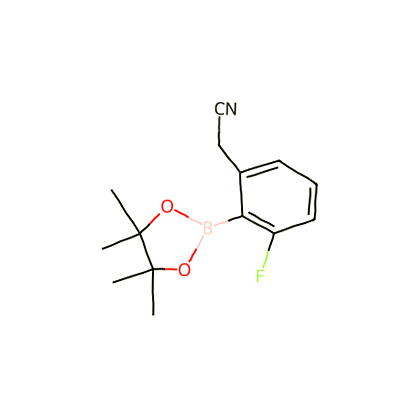 CC1(C)OB(c2c(F)cccc2CC#N)OC1(C)C